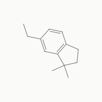 CCc1ccc2c(c1)C(C)(C)CC2